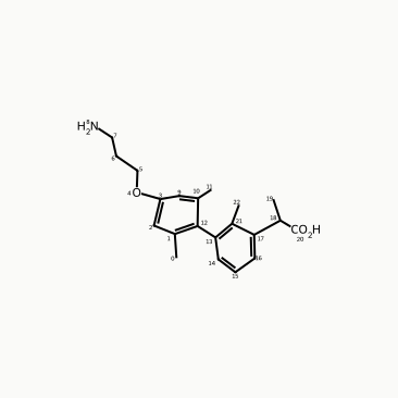 Cc1cc(OCCCN)cc(C)c1-c1cccc(C(C)C(=O)O)c1C